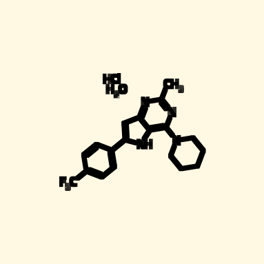 Cc1nc(N2CCCCC2)c2[nH]c(-c3ccc(C(F)(F)F)cc3)cc2n1.Cl.O